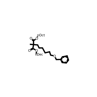 CCCCCCCCCCOC(=O)C(C)(CCCCCCOCc1ccccc1)C(=O)OCCCCCCCC